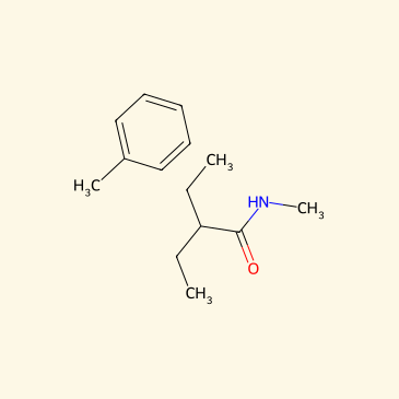 CCC(CC)C(=O)NC.Cc1ccccc1